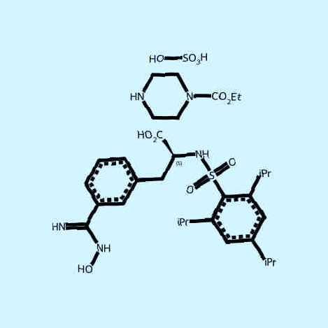 CC(C)c1cc(C(C)C)c(S(=O)(=O)N[C@@H](Cc2cccc(C(=N)NO)c2)C(=O)O)c(C(C)C)c1.CCOC(=O)N1CCNCC1.O=S(=O)(O)O